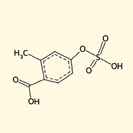 Cc1cc(OS(=O)(=O)O)ccc1C(=O)O